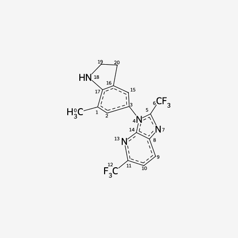 Cc1cc(-n2c(C(F)(F)F)nc3ccc(C(F)(F)F)nc32)cc2c1NCC2